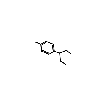 CC[C](CC)c1ccc(C)cc1